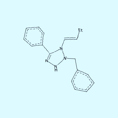 CCC=CN1C(c2ccccc2)=NNN1Cc1ccccc1